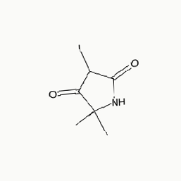 CC1(C)NC(=O)C(I)C1=O